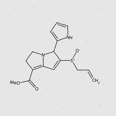 C=CC[S+]([O-])C1=CC2=C(C(=O)OC)CCN2C1c1ccc[nH]1